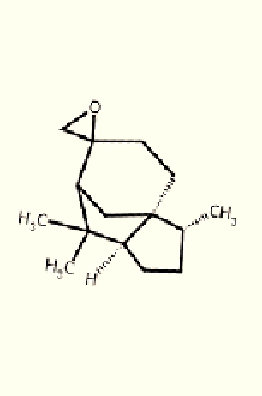 C[C@@H]1CC[C@H]2C(C)(C)C3C[C@@]12CCC31CO1